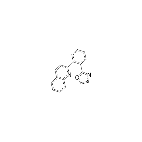 c1ccc(-c2ncco2)c(-c2ccc3ccccc3n2)c1